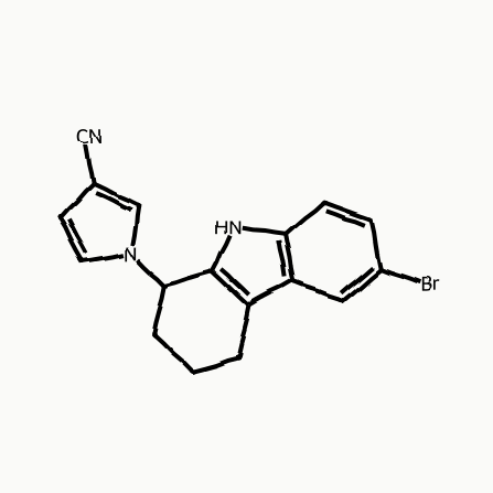 N#Cc1ccn(C2CCCc3c2[nH]c2ccc(Br)cc32)c1